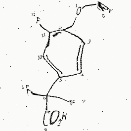 CC(C)Oc1ccc(C(F)(F)C(=O)O)cc1F